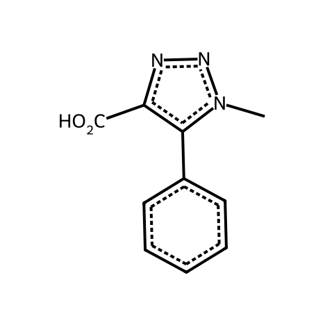 Cn1nnc(C(=O)O)c1-c1ccccc1